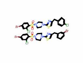 O=S(=O)(c1ccc(Br)cc1Cl)N1CCN(c2nc(Cc3ccc(Cl)cc3)cs2)CC1.O=S(=O)(c1ccc(Br)cc1Cl)N1CCN(c2nc(Cc3cccc(Br)c3)cs2)CC1